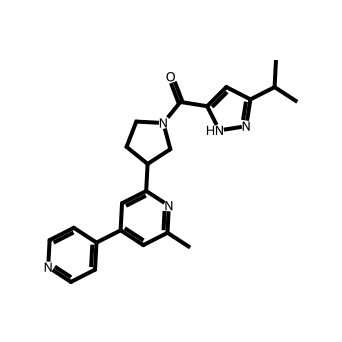 Cc1cc(-c2ccncc2)cc(C2CCN(C(=O)c3cc(C(C)C)n[nH]3)C2)n1